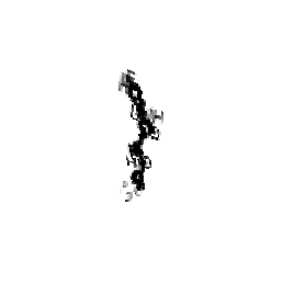 O=C(CC1CCC(F)(F)CC1)Nc1ccn(CCCCn2cc(C(=O)NCc3cccc(OC(F)(F)F)c3)nn2)c(=O)c1